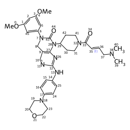 COc1cc(OC)cc(N2Cc3cnc(Nc4ccc(N5CCOCC5)cc4)nc3N(C3CCN(C(=O)/C=C/CN(C)C)CC3)C2=O)c1